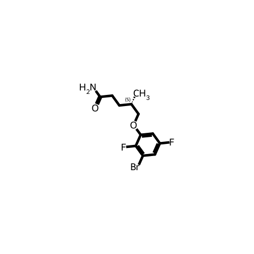 C[C@@H](CCC(N)=O)COc1cc(F)cc(Br)c1F